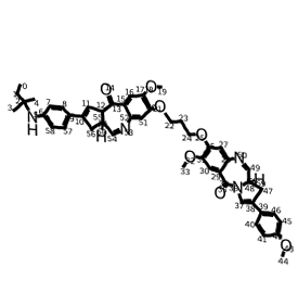 CCC(C)(C)Nc1ccc(C2=CC3C(=O)c4cc(OC)c(OCCCOc5cc6c(cc5OC)C(=O)N5C=C(c7ccc(OC)cc7)C[C@H]5C=N6)cc4N=C[C@@H]3C2)cc1